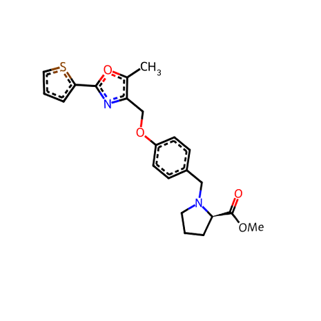 COC(=O)[C@H]1CCCN1Cc1ccc(OCc2nc(-c3cccs3)oc2C)cc1